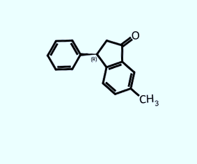 Cc1ccc2c(c1)C(=O)C[C@@H]2c1ccccc1